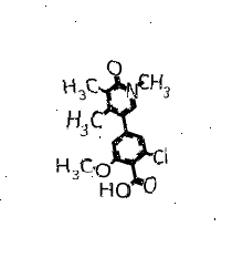 COc1cc(-c2cn(C)c(=O)c(C)c2C)cc(Cl)c1C(=O)O